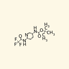 CC(C)(C)OC(=O)Nc1ccc(NC(=O)C(F)(F)F)nc1